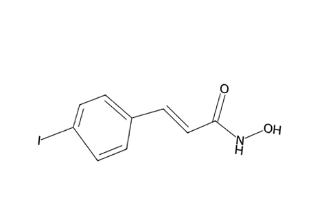 O=C(C=Cc1ccc(I)cc1)NO